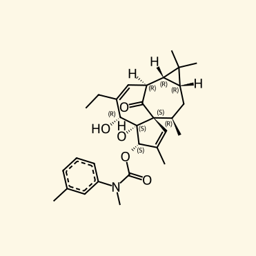 CCC1=C[C@@H]2C(=O)[C@]3(C=C(C)[C@H](OC(=O)N(C)c4cccc(C)c4)[C@@]3(O)[C@@H]1O)[C@H](C)C[C@@H]1[C@H]2C1(C)C